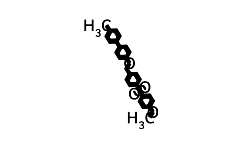 COc1ccc(S(=O)(=O)c2ccc(COc3ccc(-c4ccc(C)cc4)cc3)cc2)cc1